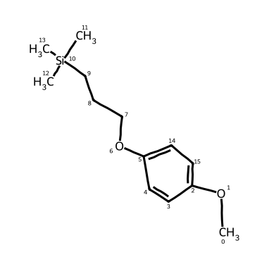 COc1ccc(OCCC[Si](C)(C)C)cc1